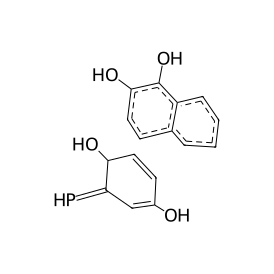 OC1=CC(=P)C(O)C=C1.Oc1ccc2ccccc2c1O